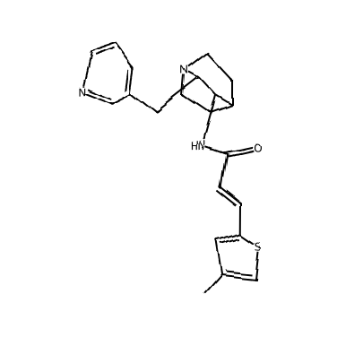 Cc1csc(C=CC(=O)NC2C3CCN(CC3)C2Cc2cccnc2)c1